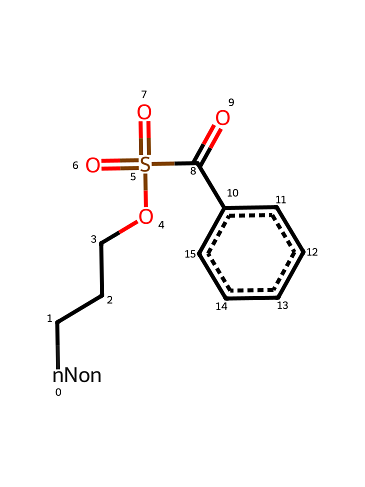 CCCCCCCCCCCCOS(=O)(=O)C(=O)c1ccccc1